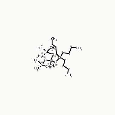 CCCC[Si](CCCC)(CCCC)O[Si](C)(O[Si](C)(C)C)O[Si](C)(C)C